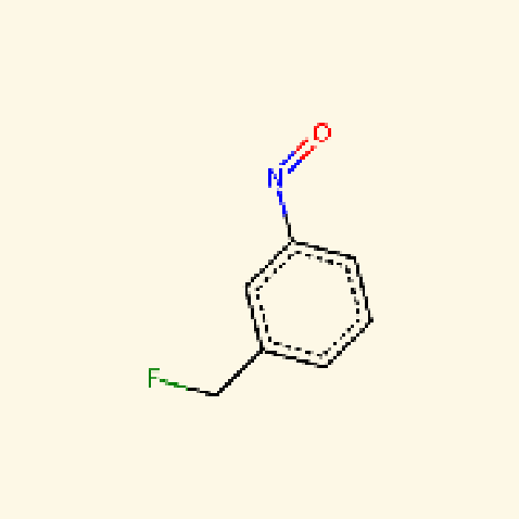 O=Nc1cccc(CF)c1